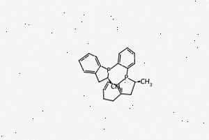 C[C@H]1CC2=C(C=CCC2)P1c1ccccc1P1c2ccccc2C[C@@H]1C